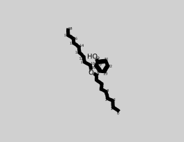 CCCCCCCCCOCCCCCCCCC.Oc1ccccc1